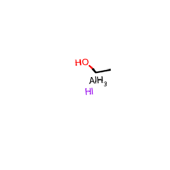 CCO.I.[AlH3]